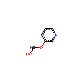 OBOc1cccnc1